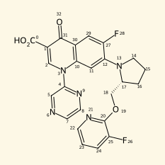 O=C(O)c1cn(-c2cnccn2)c2cc(N3CCC[C@@H]3COc3ncccc3F)c(F)cc2c1=O